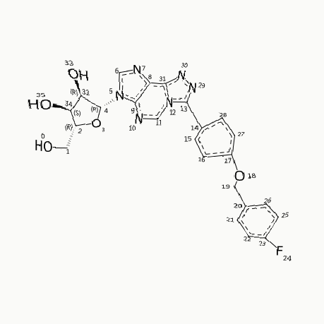 OC[C@H]1O[C@@H](n2cnc3c2ncn2c(-c4ccc(OCc5ccc(F)cc5)cc4)nnc32)[C@H](O)[C@@H]1O